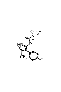 CCOC(=O)NC(=S)Nc1[nH]nc(C(F)(F)F)c1-c1ccc(F)cc1